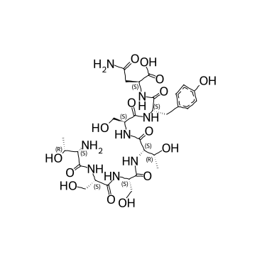 C[C@@H](O)[C@H](N)C(=O)N[C@@H](CO)C(=O)N[C@@H](CO)C(=O)N[C@H](C(=O)N[C@@H](CO)C(=O)N[C@@H](Cc1ccc(O)cc1)C(=O)N[C@@H](CC(N)=O)C(=O)O)[C@@H](C)O